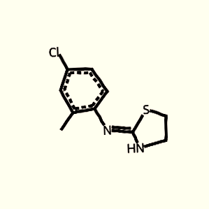 Cc1cc(Cl)ccc1/N=C1/NCCS1